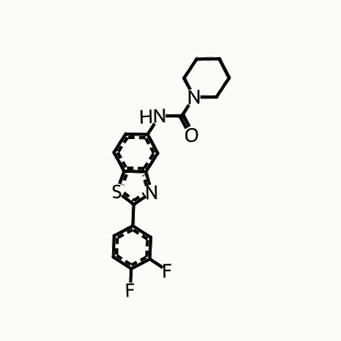 O=C(Nc1ccc2sc(-c3ccc(F)c(F)c3)nc2c1)N1CCCCC1